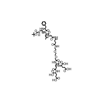 CC(C)CC(NC(=O)C(Cc1ccccc1)NC(=O)CNC(=O)OC(C)(C)C)C(=O)NCC(=O)NC(C)CCC(=O)NCCOCCOCC(=O)NC(CCC(=O)NC(CCC(=O)O)C(=O)O)C(=O)NC(CCC(=O)O)C(=O)O